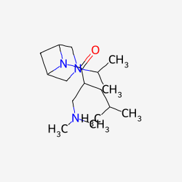 CC(C)CC(CN(C)C)C(=O)N1C2CC1CN(C(C)C)C2